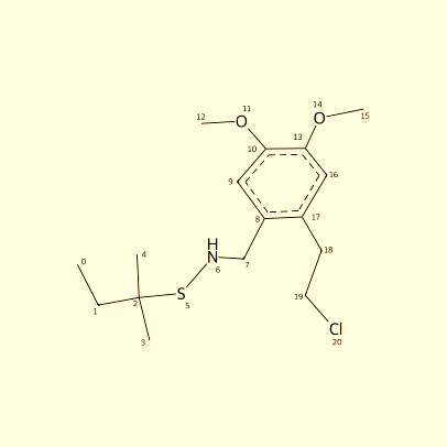 CCC(C)(C)SNCc1cc(OC)c(OC)cc1CCCl